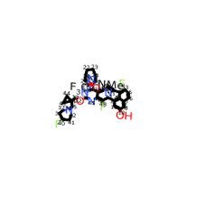 C#Cc1c(F)ccc2cc(O)cc(-c3nc(NC)c4c(N5CC6CCC(C5)N6C(=O)C(F)(F)F)nc(OCC5(CN6CCC(F)CC6)CC5)nc4c3F)c12